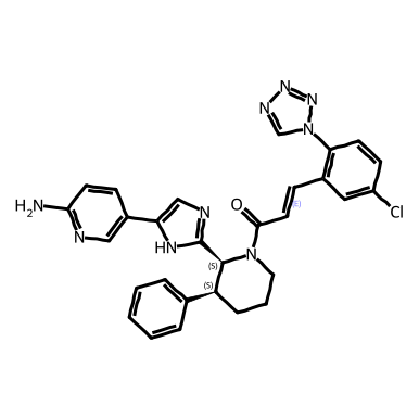 Nc1ccc(-c2cnc([C@@H]3[C@H](c4ccccc4)CCCN3C(=O)/C=C/c3cc(Cl)ccc3-n3cnnn3)[nH]2)cn1